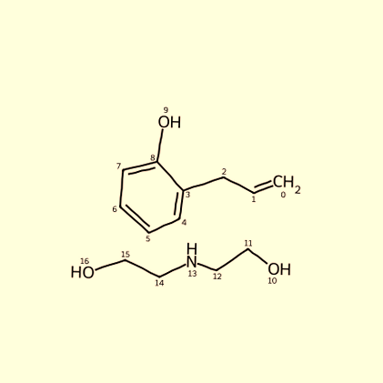 C=CCc1ccccc1O.OCCNCCO